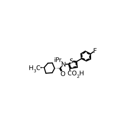 CC(C)N(c1sc(-c2ccc(F)cc2)cc1C(=O)O)C(=O)[C@H]1CC[C@H](C)CC1